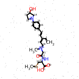 C=CC(/C=C/c1ccc(N2CCC(O)C2)cc1)=C\C=[N+](/C)CC(=O)NC(CSC)C(=O)O